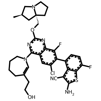 C[C@H]1CN2CCC[C@@]2(COc2nc(N3C=C(CCO)CCCC3)c3cc(Cl)c(-c4ccc(F)c5sc(N)c(C#N)c45)c(F)c3n2)C1